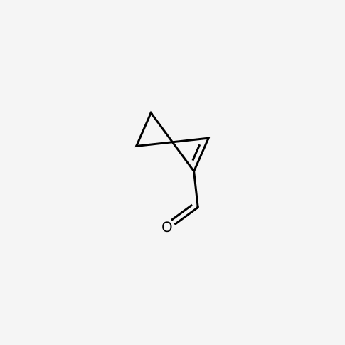 O=CC1=CC12CC2